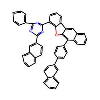 c1ccc(-c2nc(-c3ccc4ccccc4c3)nc(-c3cccc4c3oc3c(-c5ccc(-c6ccc7ccccc7c6)cc5)c5ccccc5cc34)n2)cc1